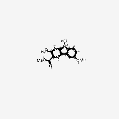 COC(=O)c1nc2c3cc(OC)ccc3n(Cl)c2nc1N